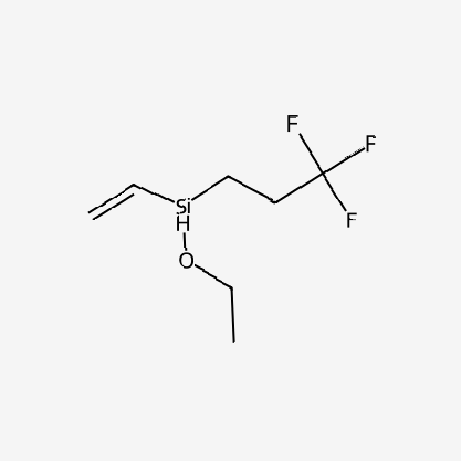 C=C[SiH](CCC(F)(F)F)OCC